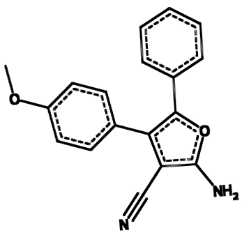 COc1ccc(-c2c(-c3ccccc3)oc(N)c2C#N)cc1